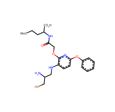 CSCCC(NC(=O)COc1nc(Oc2ccccc2)ccc1NCC(N)CS)C(=O)O